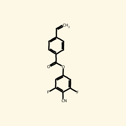 C=Cc1ccc(C(=O)Oc2cc(F)c(C#N)c(F)c2)cc1